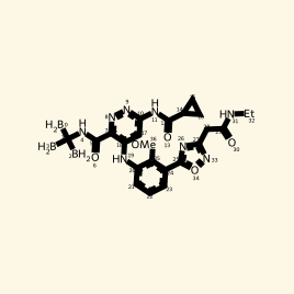 BC(B)(B)NC(=O)c1nnc(NC(=O)C2CC2)cc1Nc1cccc(-c2nc(CC(=O)NCC)no2)c1OC